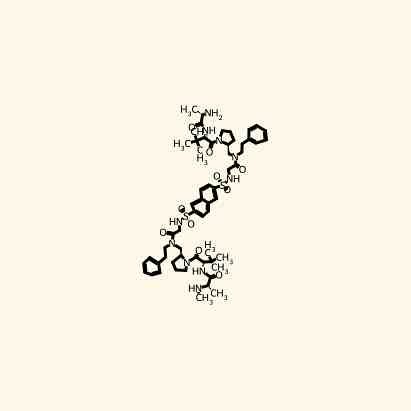 CN[C@@H](C)C(=O)N[C@H](C(=O)N1CCC[C@H]1CN(CCc1ccccc1)C(=O)CNS(=O)(=O)c1ccc2cc(S(=O)(=O)NCC(=O)N(CCc3ccccc3)C[C@@H]3CCCN3C(=O)[C@@H](NC(=O)[C@H](C)N)C(C)(C)C)ccc2c1)C(C)(C)C